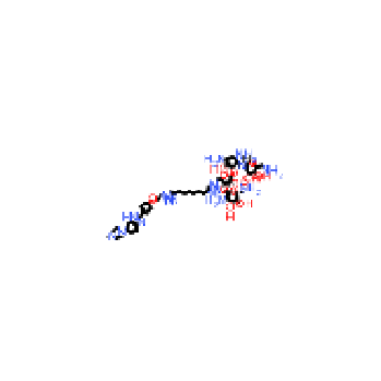 CN1CCN(c2ccc3nc(-c4ccc(OCCn5cc(CCCCCCc6cn(CC7OC(OC8[C@H](N9C%10[C@@H](O)[C@H](O)C(CN)O[C@@H]%109)C(N)C[C@@H](N)[C@H]8O)[C@@H](O)[C@H]7O[C@H]7O[C@@H](CN)[C@@H](O)C(O)C7N)nn6)nn5)cc4)[nH]c3c2)CC1